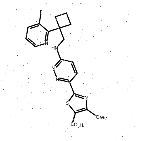 COc1nc(-c2ccc(NCC3(c4ncccc4F)CCC3)nn2)sc1C(=O)O